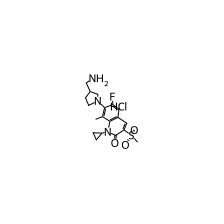 Cc1c(N2CCC(CN)C2)c(F)cc2cc(S(C)(=O)=O)c(=O)n(C3CC3)c12.Cl